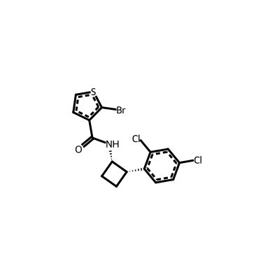 O=C(N[C@H]1CC[C@H]1c1ccc(Cl)cc1Cl)c1ccsc1Br